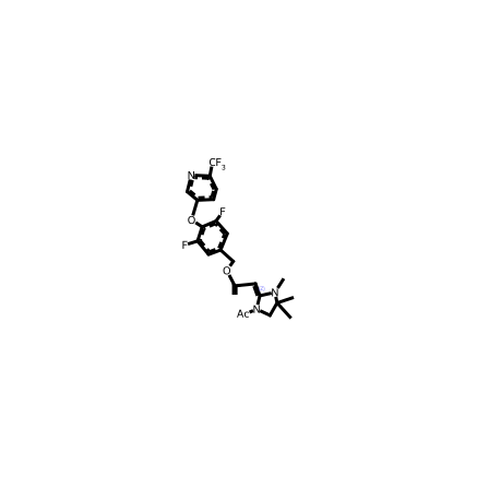 C=C(/C=C1\N(C(C)=O)CC(C)(C)N1C)OCc1cc(F)c(Oc2ccc(C(F)(F)F)nc2)c(F)c1